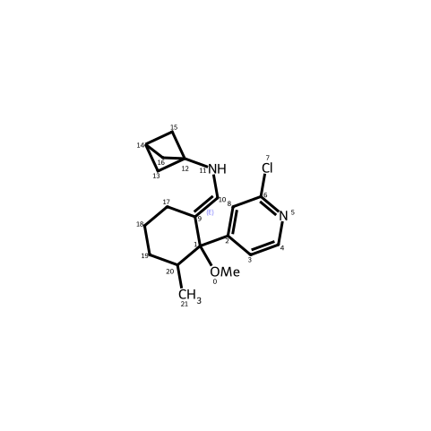 COC1(c2ccnc(Cl)c2)/C(=C/NC23CC(C2)C3)CCCC1C